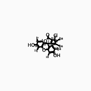 O=C1OC2(c3cc(I)c(O)c(I)c3Oc3c2cc(I)c(O)c3I)c2cc(I)c(I)c(Cl)c21